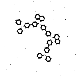 c1ccc(N(c2ccccc2)c2ccc(-c3ccc(N(c4ccc(-c5ccc(N(c6ccc(-c7ccc(N(c8ccccc8)c8ccccc8)cc7)cc6)c6cccc7ccccc67)cc5)cc4)c4cccc5ccccc45)cc3)cc2)cc1